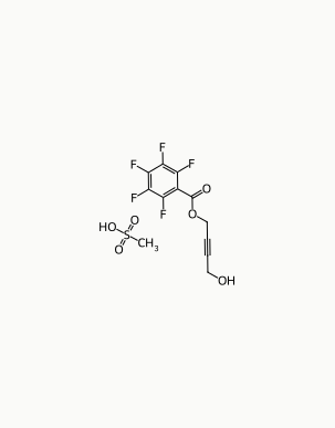 CS(=O)(=O)O.O=C(OCC#CCO)c1c(F)c(F)c(F)c(F)c1F